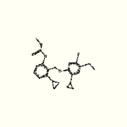 CCc1cc(C2CC2)c(OCc2c(OC(=O)OC)cccc2C2CC2)cc1F